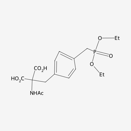 CCOP(=O)(Cc1ccc(CC(NC(C)=O)(C(=O)O)C(=O)O)cc1)OCC